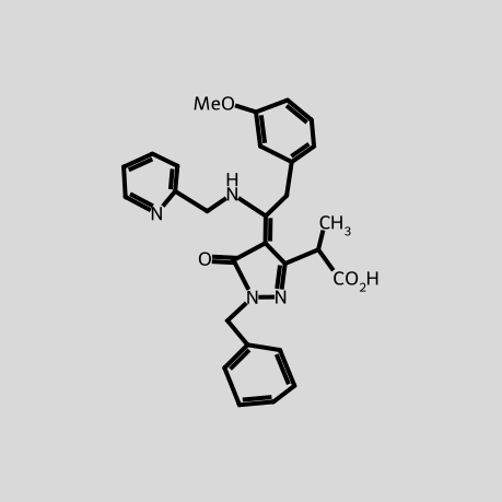 COc1cccc(C/C(NCc2ccccn2)=C2/C(=O)N(Cc3ccccc3)N=C2C(C)C(=O)O)c1